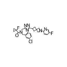 O=C(N1Cc2cc(Cl)ccc2-n2c(nnc2C2CC3(C2)CN(c2ccc(F)cn2)C3)C1)C1(F)CC1